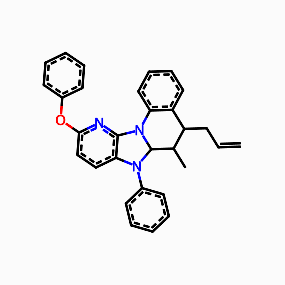 C=CCC1c2ccccc2N2c3nc(Oc4ccccc4)ccc3N(c3ccccc3)C2C1C